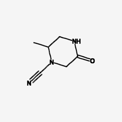 CC1CNC(=O)CN1C#N